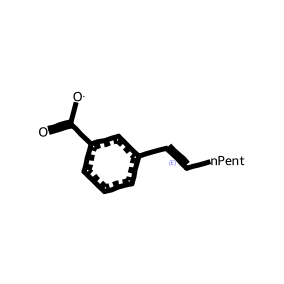 CCCCC/C=C/c1cccc(C([O])=O)c1